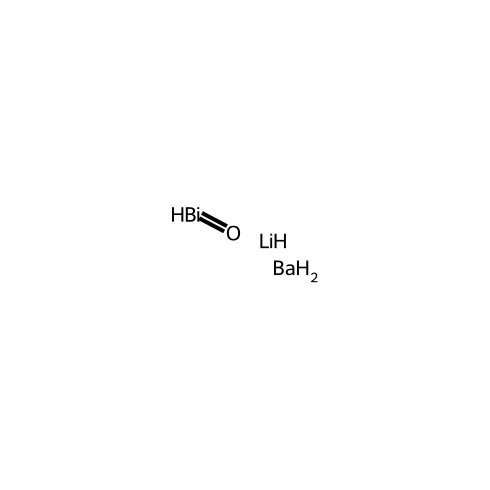 [BaH2].[LiH].[O]=[BiH]